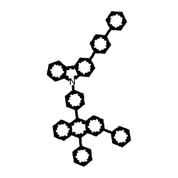 c1ccc(-c2ccc(-c3ccc4c(c3)c3ccccc3n4-c3ccc(-c4c5ccccc5c(-c5ccccc5)c5cc(-c6ccccc6)ccc45)cc3)cc2)cc1